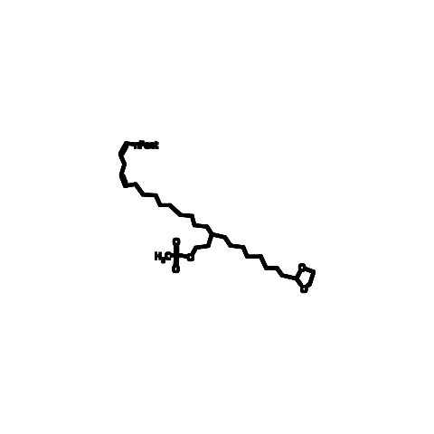 CCCCC/C=C\C/C=C\CCCCCCCCCC(CCCCCCCCC1OCCO1)CCOS(C)(=O)=O